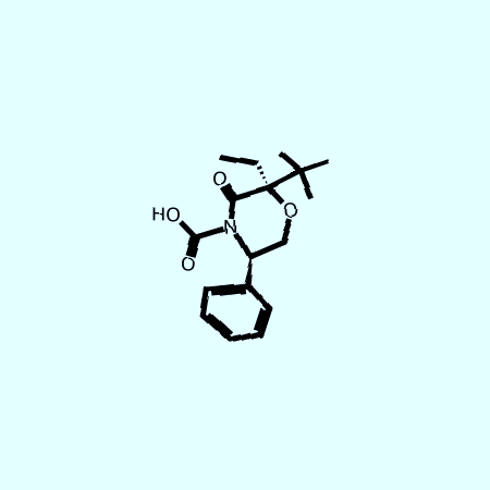 CC[C@]1(C(C)(C)C)OC[C@@H](c2ccccc2)N(C(=O)O)C1=O